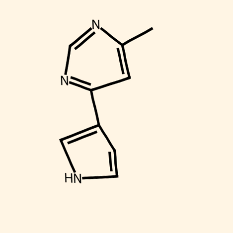 Cc1cc(-c2cc[nH]c2)ncn1